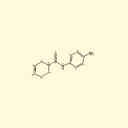 O=C(Nc1ccc([N+](=O)[O-])cc1)N1CC=CCC1